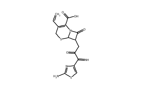 C=CC1=C(C(=O)O)N2C(=O)C(CC(=O)C(=N)c3csc(N)n3)C2SC1